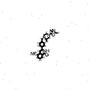 Cc1nnc(N2CCN(Cc3ccc(-c4cc5c(C#N)cccc5c(=O)[nH]4)cc3)C(C)C2)o1